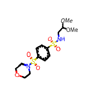 COC(CNS(=O)(=O)c1ccc(S(=O)(=O)N2CCOCC2)cc1)OC